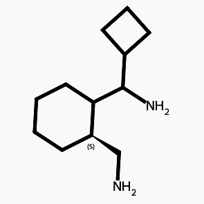 NC[C@H]1CCCCC1C(N)C1CCC1